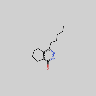 CCCCCc1n[nH]c(=O)c2c1CCCC2